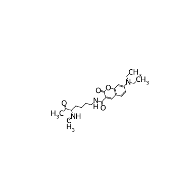 CCN(CC)c1ccc2cc(C(=O)NCCCCC(NC)C(C)=O)c(=O)oc2c1